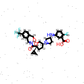 O=C(O)c1cc(N[C@@H]2CCN([C@@H]3CC[C@@](C(=O)N4Cc5cc(C(F)(F)F)ccc5CO4)(C4CC4)OC3)C2)ccc1F